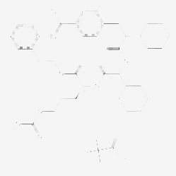 N=C(N)NCCC[C@H](NC(=O)C(NC(=O)C(Cc1ccc(C(=N)N)cc1)C1CCCCC1)C1CCCCC1)C(=O)NCCc1ccccc1.O=C(O)C(F)(F)F